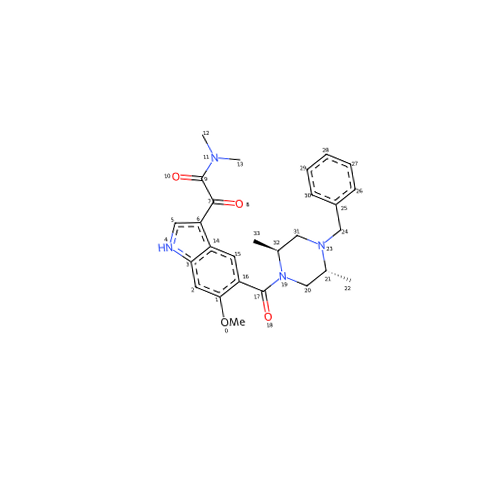 COc1cc2[nH]cc(C(=O)C(=O)N(C)C)c2cc1C(=O)N1C[C@@H](C)N(Cc2ccccc2)C[C@@H]1C